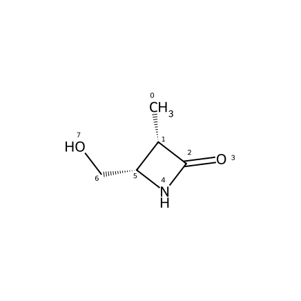 C[C@@H]1C(=O)N[C@@H]1CO